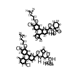 Cc1ccc(Cl)c(-c2ccc(C(=O)NC(CC(=O)O)C3CCC3)nc2-c2ccc(Cl)c(OCCCN(C)C)c2)c1.Cc1sccc1-c1ccc(C(=O)NC2(C(=O)O)CCCCC2)nc1-c1ccc(Cl)c(OCCCN(C)C)c1.Cl.Cl